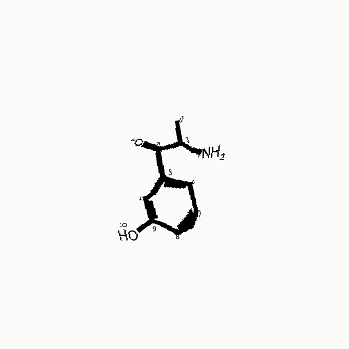 CC(N)C(=O)c1cccc(O)c1